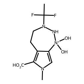 Cn1cc2c(c1C(=O)O)CCN(C(C)(F)F)N[N+]2(O)O